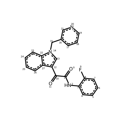 O=C(Nc1ccccc1F)C(=O)c1cn(Cc2cccnc2)c2ccccc12